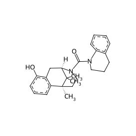 CC1(C)[C@H]2Cc3c(O)cccc3[C@]1(C)CCN2C(=O)N1CCCc2ccccc21